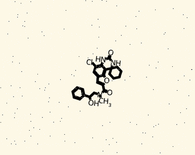 CN(CC(O)c1ccccc1)C(=O)c1cc2cc(Cl)c3c(c2o1)C1(CCCCC1)NC(=O)N3